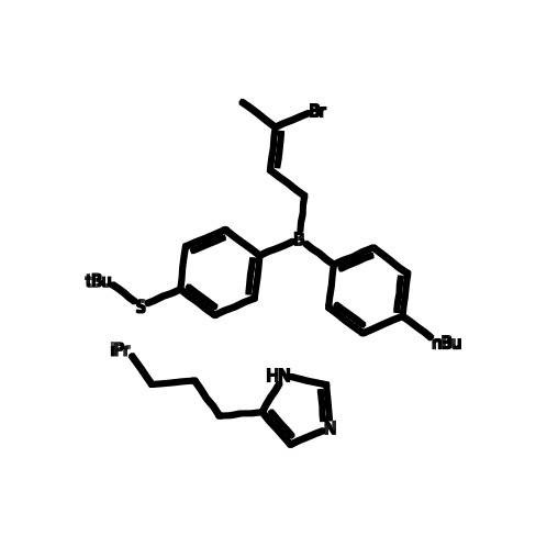 CC(C)CCCc1cnc[nH]1.CCCCc1ccc(B(CC=C(C)Br)c2ccc(SC(C)(C)C)cc2)cc1